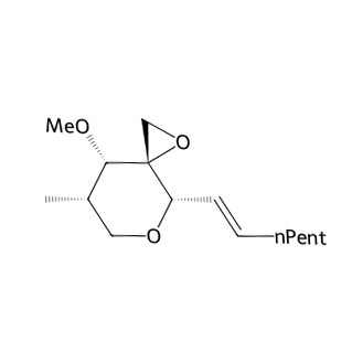 CCCCCC=C[C@@H]1OC[C@H](C)[C@H](OC)[C@@]12CO2